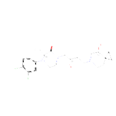 C[C@H]1C(=O)N(C[C@@H](O)CCN2CCC3(CC3)[C@H](O)C2)CCN1c1ccc(Cl)c(Cl)c1